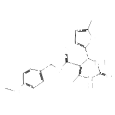 COc1ccc(COC(=O)C2=C(C)NC(=O)NC2c2ccc(C)o2)cc1